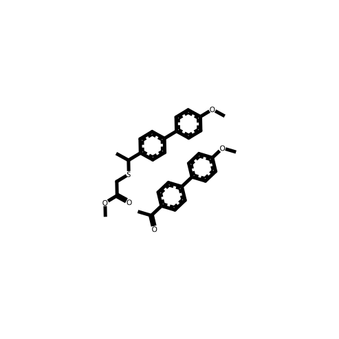 COC(=O)CSC(C)c1ccc(-c2ccc(OC)cc2)cc1.COc1ccc(-c2ccc(C(C)=O)cc2)cc1